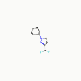 FC(F)c1ccn(-c2ccccc2)n1